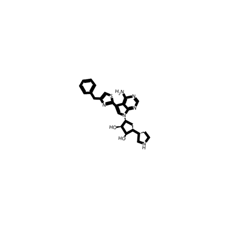 Nc1ncnc2c1c(-c1nc(Cc3ccccc3)cs1)cn2[C@@H]1C[C@H]([C@@H]2CCNC2)[C@@H](O)[C@H]1O